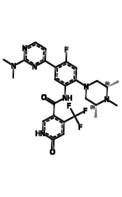 C[C@@H]1CN(c2cc(F)c(-c3ccnc(N(C)C)n3)cc2NC(=O)c2c[nH]c(=O)cc2C(F)(F)F)C[C@H](C)N1C